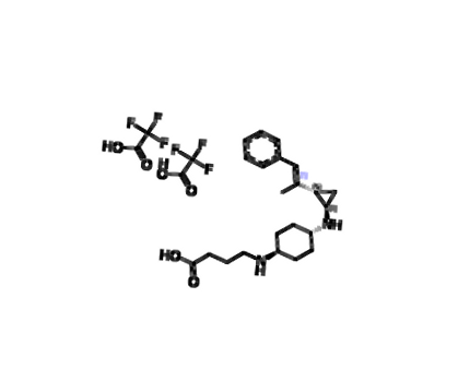 C/C(=C\c1ccccc1)[C@@H]1C[C@H]1N[C@H]1CC[C@H](NCCCC(=O)O)CC1.O=C(O)C(F)(F)F.O=C(O)C(F)(F)F